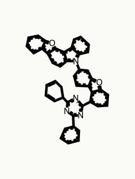 C1=CCC(c2nc(-c3ccccc3)nc(-c3cccc4oc5cc(-n6c7ccccc7c7c8oc9ccccc9c8ccc76)ccc5c34)n2)C=C1